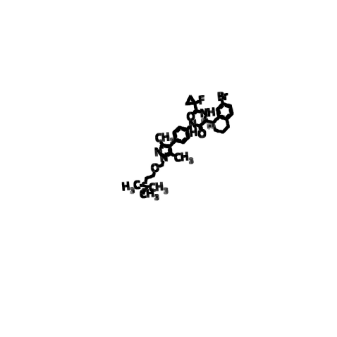 Cc1nn(COCCS(C)(C)C)c(C)c1-c1ccc(NC(=O)[C@@H](NC(=O)C2(F)CC2)[C@@H]2CCCc3ccc(Br)cc32)cc1